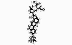 CC(C=O)[C@@H](CN1C(c2nc3ccc4cc5c(cc4c3[nH]2)OCc2cc(B3OC(C)(C)C(C)(C)O3)ccc2-5)CC2CC21)NC(=O)O